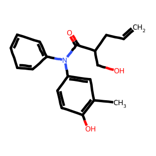 C=CCC(CO)C(=O)N(c1ccccc1)c1ccc(O)c(C)c1